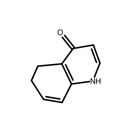 O=c1cc[nH]c2c1CCC=C2